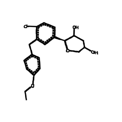 CCOc1ccc(Cc2cc([C@@H]3OCC(O)CC3O)ccc2Cl)cc1